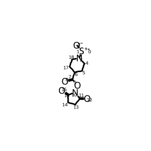 C[S@+]([O-])N1CCC(C(=O)ON2C(=O)CCC2=O)CC1